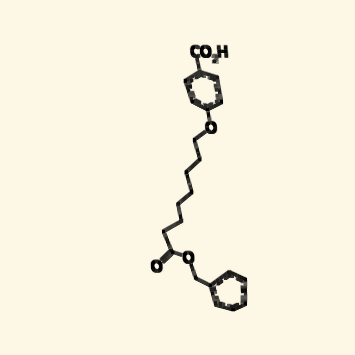 O=C(CCCCCCCOc1ccc(C(=O)O)cc1)OCc1ccccc1